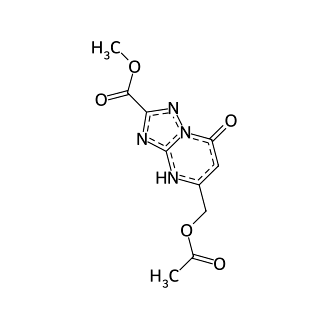 COC(=O)c1nc2[nH]c(COC(C)=O)cc(=O)n2n1